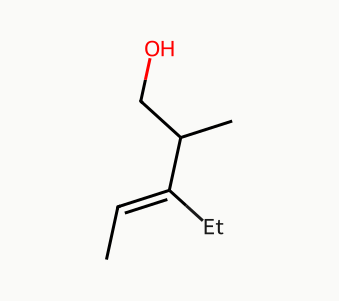 C/C=C(\CC)C(C)CO